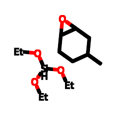 CC1CCC2OC2C1.CCO[SiH](OCC)OCC